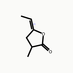 C/C=C1\CC(C)C(=O)O1